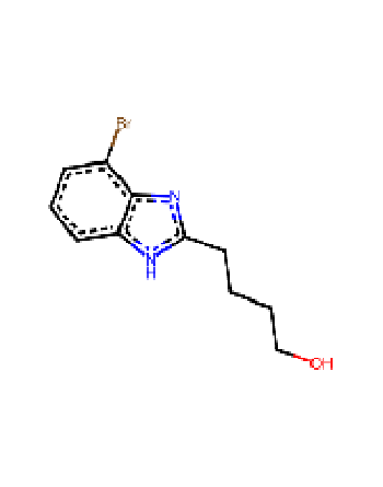 OCCCCc1nc2c(Br)cccc2[nH]1